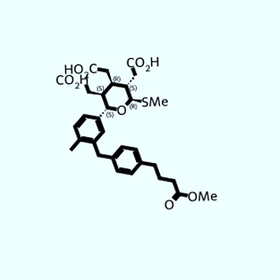 COC(=O)CCCc1ccc(Cc2cc([C@H]3O[C@H](SC)[C@@H](CC(=O)O)[C@H](CC(=O)O)[C@@H]3CC(=O)O)ccc2C)cc1